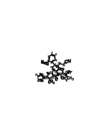 COc1ccccc1[C@H](Cn1c(=O)n([C@@H](C)C(=O)N(C)C(C)C)c(=O)c2c(C)c(-n3nccn3)sc21)OCCC#N